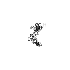 CCC(C(=O)Oc1ccc(S(=O)(=O)N[C@H](C(=O)O)C(C)C)cc1)c1ccc(N2CCCC2)cc1